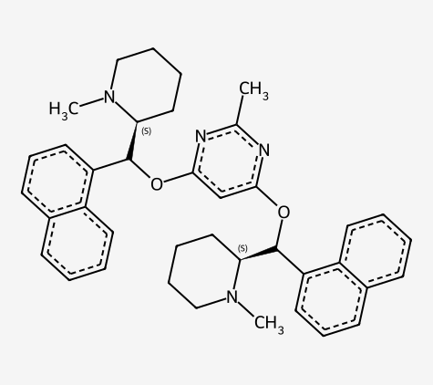 Cc1nc(OC(c2cccc3ccccc23)[C@@H]2CCCCN2C)cc(OC(c2cccc3ccccc23)[C@@H]2CCCCN2C)n1